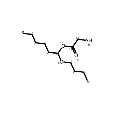 CCCCCC(OCCCC)OC(=O)CS